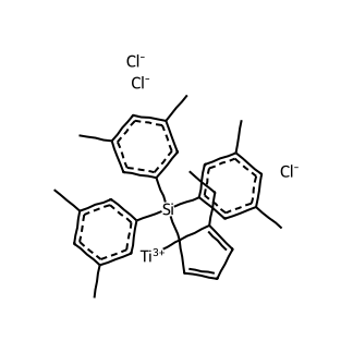 CCC1=CC=C[C]1([Ti+3])[Si](c1cc(C)cc(C)c1)(c1cc(C)cc(C)c1)c1cc(C)cc(C)c1.[Cl-].[Cl-].[Cl-]